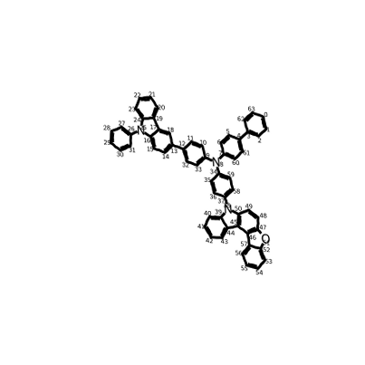 c1ccc(-c2ccc(N(c3ccc(-c4ccc5c(c4)c4ccccc4n5-c4ccccc4)cc3)c3ccc(-n4c5ccccc5c5c6c(ccc54)oc4ccccc46)cc3)cc2)cc1